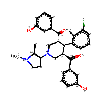 Cc1c(F)cccc1C1[C@@H](C(=O)c2cccc(O)c2)CN(C2CCN(C(=O)O)C2C)C[C@@H]1C(=O)c1cccc(O)c1